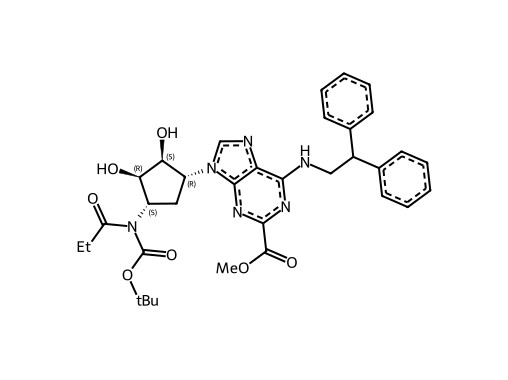 CCC(=O)N(C(=O)OC(C)(C)C)[C@H]1C[C@@H](n2cnc3c(NCC(c4ccccc4)c4ccccc4)nc(C(=O)OC)nc32)[C@H](O)[C@@H]1O